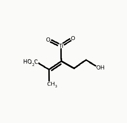 CC(C(=O)O)=[C](CCO)[Ti](=[O])=[O]